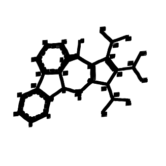 CC(C)C1=[C]([Zr][CH]2c3ccccc3-c3ccccc32)C(C(C)C)C(C(C)C)=C1C(C)C